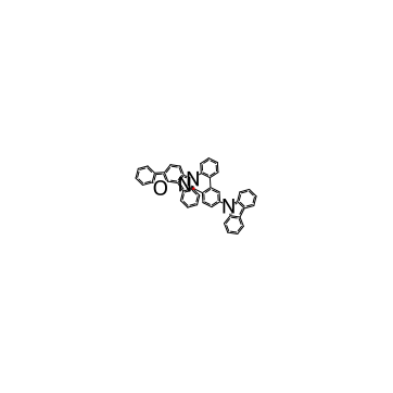 N#Cc1ccc(-n2c3ccccc3c3ccccc32)cc1-c1ccccc1-n1c2ccccc2c2c3oc4ccccc4c3ccc21